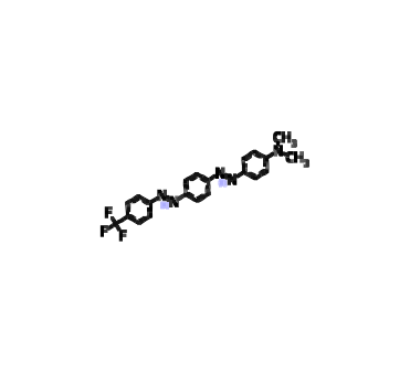 CN(C)c1ccc(/N=N/c2ccc(/N=N/c3ccc(C(F)(F)F)cc3)cc2)cc1